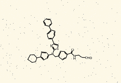 O=CCCNC(=O)c1ccc(CN(c2ccc(C3CCCCC3)cc2)c2nc(-c3ccc(-c4ccccc4)cc3)cs2)cc1